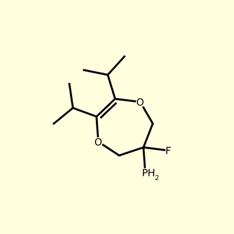 CC(C)C1=C(C(C)C)OCC(F)(P)CO1